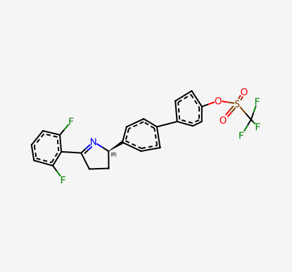 O=S(=O)(Oc1ccc(-c2ccc([C@H]3CCC(c4c(F)cccc4F)=N3)cc2)cc1)C(F)(F)F